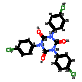 O=c1n(-c2ccc(Cl)cc2)c(=O)n(-c2ccc(Cl)cc2)c(=O)n1-c1ccc(Cl)cc1